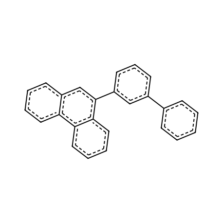 c1ccc(-c2cccc(-c3cc4ccccc4c4ccccc34)c2)cc1